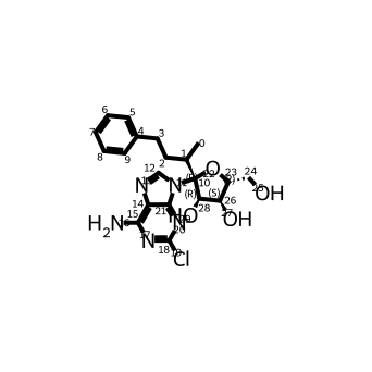 CC(CCc1ccccc1)[C@@]1(n2cnc3c(N)nc(Cl)nc32)O[C@H](CO)[C@@H](O)[C@H]1O